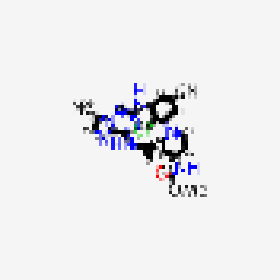 COC(=O)N[C@@H]1[CH]CN(c2cc(C#N)cc(Nc3nc(NC4CC4)c4ncc(C#N)n4n3)c2Cl)CC1